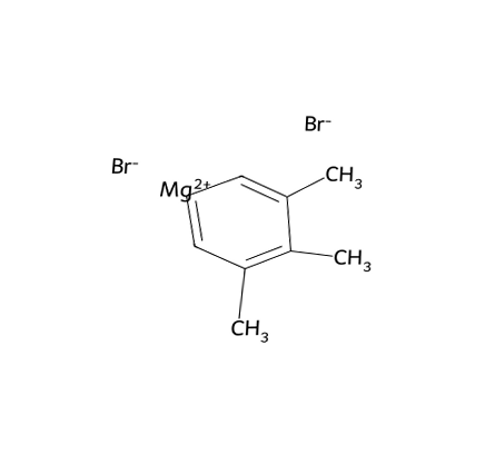 Cc1cccc(C)c1C.[Br-].[Br-].[Mg+2]